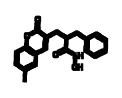 Cc1ccc2oc(=O)c(CC(Cc3ccccc3)C(=O)NO)cc2c1